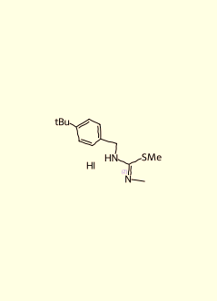 C/N=C(/NCc1ccc(C(C)(C)C)cc1)SC.I